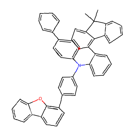 CC1(C)c2ccccc2-c2c(-c3ccccc3N(c3ccc(-c4ccccc4)cc3)c3ccc(-c4cccc5c4oc4ccccc45)cc3)cccc21